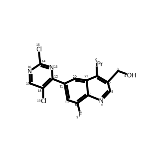 CC(C)c1c(CO)cnc2c(F)cc(-c3nc(Cl)ncc3Cl)cc12